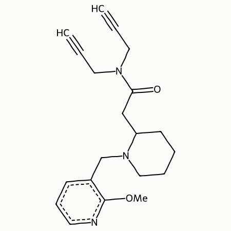 C#CCN(CC#C)C(=O)CC1CCCCN1Cc1cccnc1OC